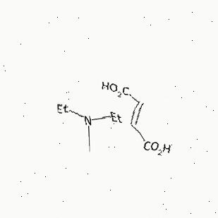 CCN(C)CC.O=C(O)C=CC(=O)O